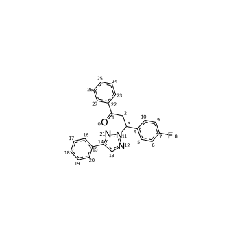 O=C(CC(c1ccc(F)cc1)n1ncc(-c2ccccc2)n1)c1ccccc1